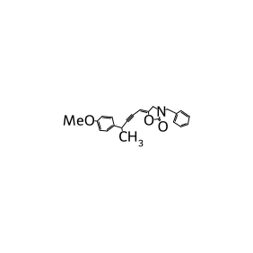 COc1ccc(C(C)C#CC=C2CN(Cc3ccccc3)C(=O)O2)cc1